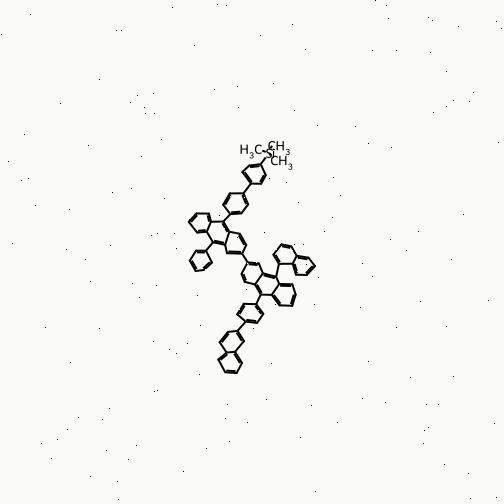 C[Si](C)(C)c1ccc(-c2ccc(-c3c4ccccc4c(-c4ccccc4)c4cc(-c5ccc6c(-c7ccc(-c8ccc9ccccc9c8)cc7)c7ccccc7c(-c7cccc8ccccc78)c6c5)ccc34)cc2)cc1